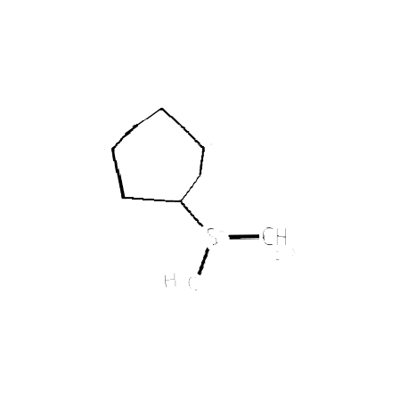 C[S+](C)C1CCCC1